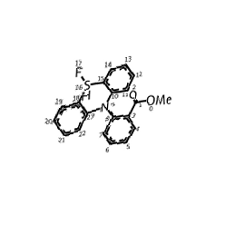 COC(=O)c1ccccc1N1c2ccccc2[SH](F)c2ccccc21